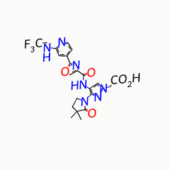 CC1(C)CCN(c2nn(CC(=O)O)cc2NC(=O)c2coc(-c3ccnc(NCC(F)(F)F)c3)n2)C1=O